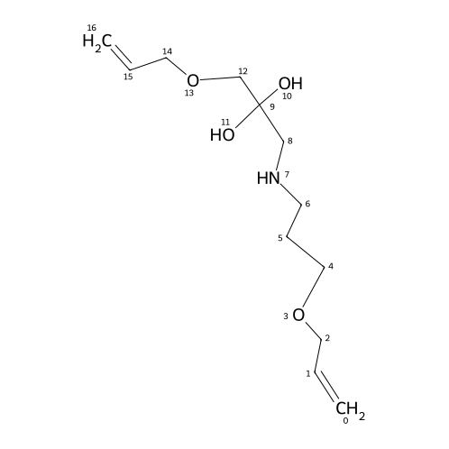 C=CCOCCCNCC(O)(O)COCC=C